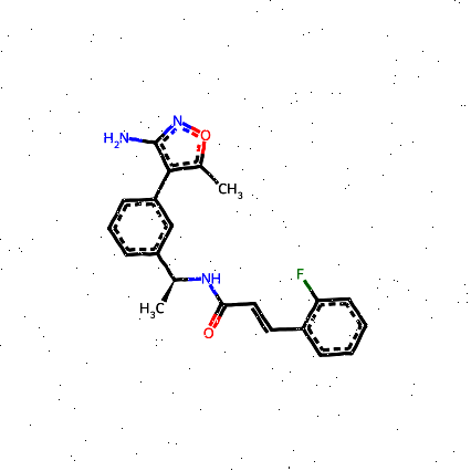 Cc1onc(N)c1-c1cccc([C@H](C)NC(=O)C=Cc2ccccc2F)c1